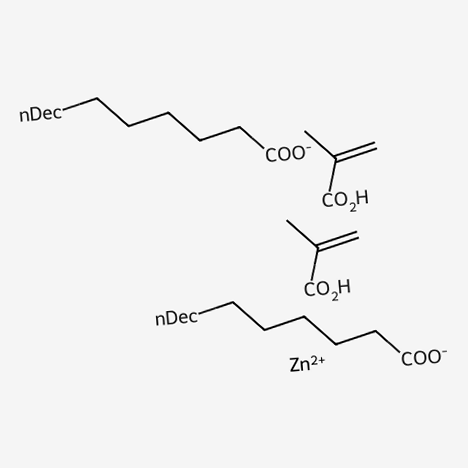 C=C(C)C(=O)O.C=C(C)C(=O)O.CCCCCCCCCCCCCCCC(=O)[O-].CCCCCCCCCCCCCCCC(=O)[O-].[Zn+2]